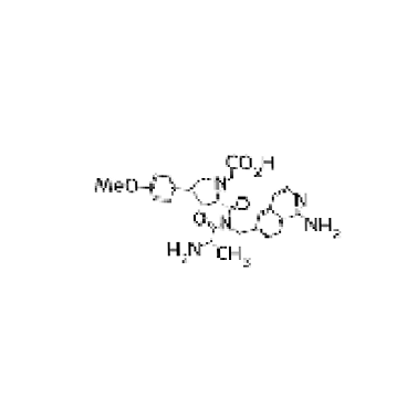 COc1ccc(C2C[C@@H](C(=O)N(Cc3ccc4c(N)nccc4c3)C(=O)[C@H](C)N)N(CC(=O)O)C2)cc1